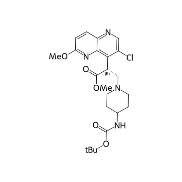 COC(=O)[C@@H](CN1CCC(NC(=O)OC(C)(C)C)CC1)c1c(Cl)cnc2ccc(OC)nc12